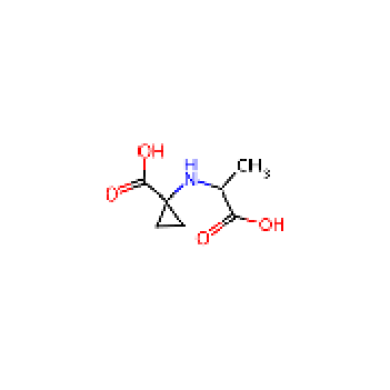 CC(NC1(C(=O)O)CC1)C(=O)O